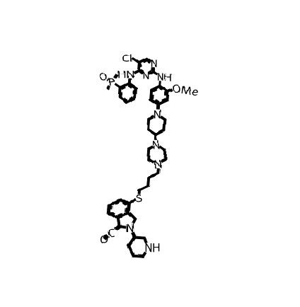 COc1cc(N2CCC(N3CCN(CCCCSc4cccc5c4CN(C4CCCNC4)C5=C=O)CC3)CC2)ccc1Nc1ncc(Cl)c(Nc2ccccc2P(C)(C)=O)n1